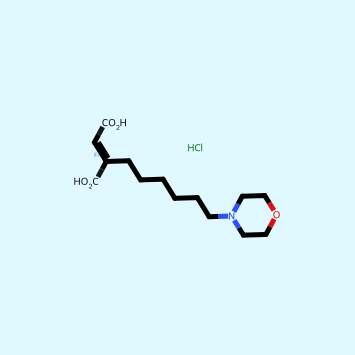 Cl.O=C(O)/C=C(\CCCCCCN1CCOCC1)C(=O)O